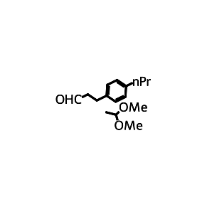 CCCc1ccc(CCC=O)cc1.COC(C)OC